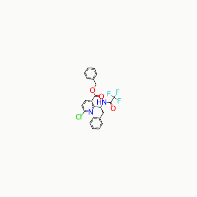 O=C(OCc1ccccc1)c1ccc(Cl)nc1[C@H](Cc1ccccc1)NC(=O)C(F)(F)F